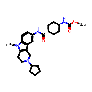 CCCn1c2c(c3cc(NC(=O)[C@H]4CC[C@H](NC(=O)OC(C)(C)C)CC4)ccc31)CN(C1CCCC1)CC2